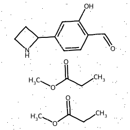 CCC(=O)OC.CCC(=O)OC.O=Cc1ccc(C2CCN2)cc1O